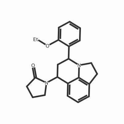 CCOc1ccccc1C1CC(N2CCCC2=O)c2cccc3c2N1CC3